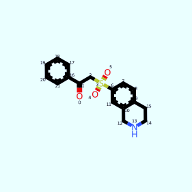 O=C(CS(=O)(=O)c1ccc2c(c1)CNCC2)c1ccccc1